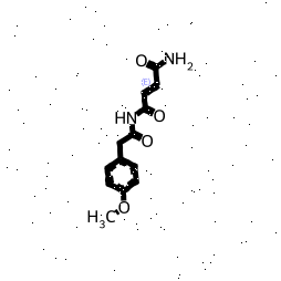 COc1ccc(CC(=O)NC(=O)/C=C/C(N)=O)cc1